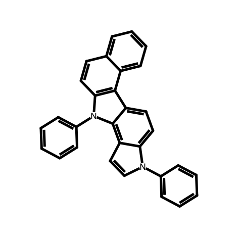 c1ccc(-n2ccc3c2ccc2c4c5ccccc5ccc4n(-c4ccccc4)c23)cc1